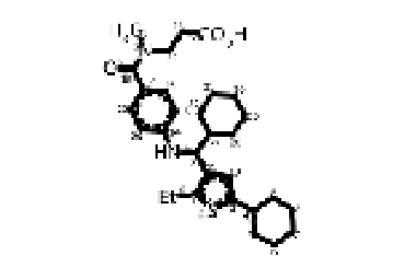 CCc1sc(C2CCCCC2)cc1C(Nc1ccc(C(=O)N(C)CCC(=O)O)cc1)C1CCCCC1